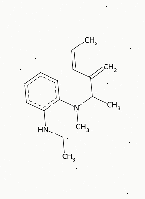 C=C(/C=C\C)C(C)N(C)c1ccccc1NCC